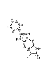 CC1C(=S)Nc2cc3c(cc21)NC(c1ccncc1)N3